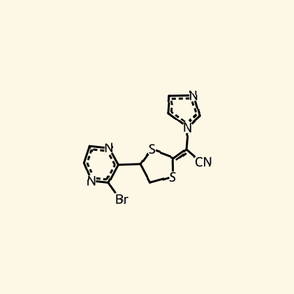 N#CC(=C1SCC(c2nccnc2Br)S1)n1ccnc1